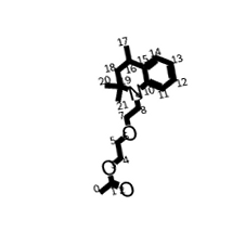 CC(=O)OCCOCCN1c2ccccc2C(C)CC1(C)C